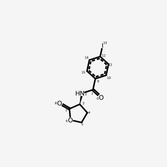 O=C(N[C@H]1CCOC1=O)c1ccc(I)cc1